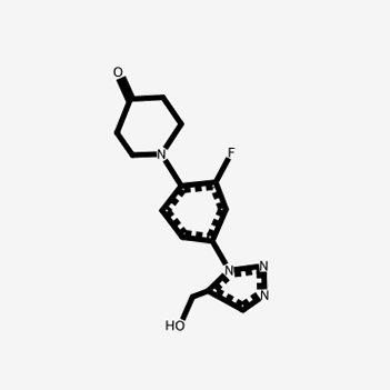 O=C1CCN(c2ccc(-n3nncc3CO)cc2F)CC1